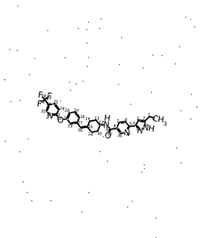 CCc1cc(-c2ccc(C(=O)NC3CCC(=Cc4cccc(Oc5ccc(C(F)(F)F)cn5)c4)CC3)cn2)n[nH]1